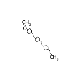 CCCC[C@H]1CC[C@H](CCC2CC=C(CCc3ccc(OCCC)cc3)CC2)CC1